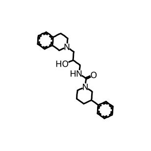 O=C(NCC(O)CN1CCc2ccccc2C1)N1CCCC(c2ccccc2)C1